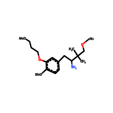 CCCCOCC(C)(C)C(N)Cc1ccc(OC)c(OCCCOC)c1